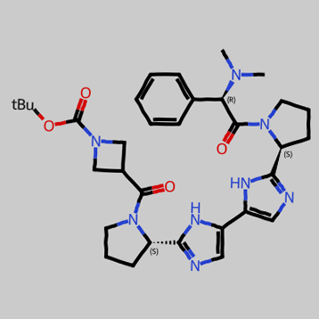 CN(C)[C@@H](C(=O)N1CCC[C@H]1c1ncc(-c2cnc([C@@H]3CCCN3C(=O)C3CN(C(=O)OC(C)(C)C)C3)[nH]2)[nH]1)c1ccccc1